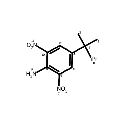 CC(C)C(C)(C)c1cc([N+](=O)[O-])c(N)c([N+](=O)[O-])c1